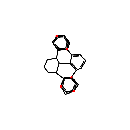 c1ccc(-c2cccc(-c3ccccc3)c2P2C(c3ccccc3)CCCC2c2ccccc2)cc1